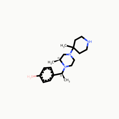 Bc1ccc([C@H](C)N2CCN(C3(C)CCNCC3)C[C@@H]2C)cc1